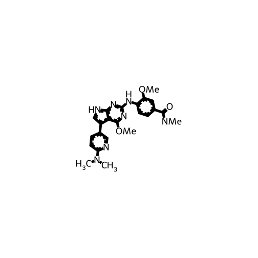 CNC(=O)c1ccc(Nc2nc(OC)c3c(-c4ccc(N(C)C)nc4)c[nH]c3n2)c(OC)c1